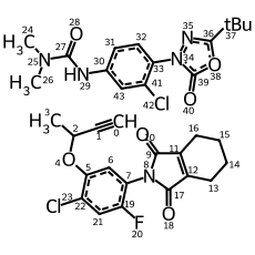 C#CC(C)Oc1cc(N2C(=O)C3=C(CCCC3)C2=O)c(F)cc1Cl.CN(C)C(=O)Nc1ccc(-n2nc(C(C)(C)C)oc2=O)c(Cl)c1